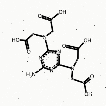 Nc1nc(N(CC(=O)O)CC(=O)O)nc(N(CC(=O)O)CC(=O)O)n1